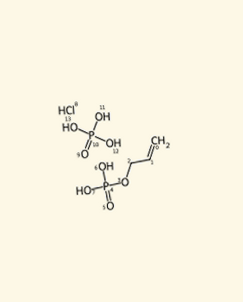 C=CCOP(=O)(O)O.Cl.O=P(O)(O)O